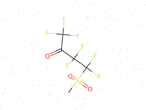 CS(=O)(=O)C(F)(F)C(F)(F)C(=O)C(F)(F)F